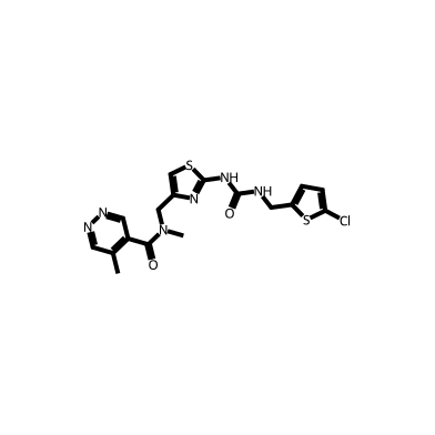 Cc1cnncc1C(=O)N(C)Cc1csc(NC(=O)NCc2ccc(Cl)s2)n1